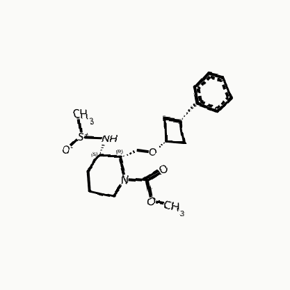 COC(=O)N1CCC[C@H](N[S+](C)[O-])[C@@H]1CO[C@H]1C[C@@H](c2ccccc2)C1